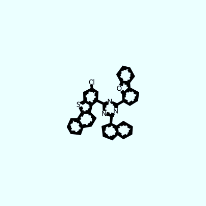 Clc1cc(-c2nc(-c3cccc4ccccc34)nc(-c3cccc4c3oc3ccccc34)n2)c2c(c1)sc1c3ccccc3ccc12